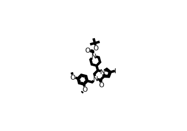 COc1ccc(CN2CC(C3CCN(C(=O)OC(C)(C)C)CC3)n3cc(I)cc3C2=O)c(OC)c1